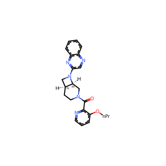 CCCOc1cccnc1C(=O)N1CC[C@H]2CN(c3cnc4ccccc4n3)[C@H]2C1